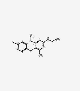 CCNc1nc(C)c(Cc2ccc(F)cc2)c(CC)n1